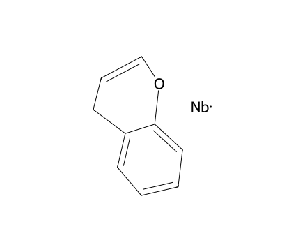 C1=COc2ccccc2C1.[Nb]